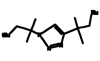 CCC(C)CC(C)(C)c1cn(C(C)(C)CC(C)(C)C)nn1